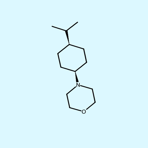 CC(C)[C@H]1CC[C@@H](N2CCOCC2)CC1